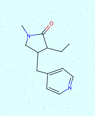 CCC1C(=O)N(C)CC1Cc1ccncc1